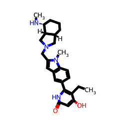 CCc1c(O)cc(=O)[nH]c1-c1ccc2c(c1)cc(CN1C[C@H]3CCC[C@@H](NC)[C@H]3C1)n2C